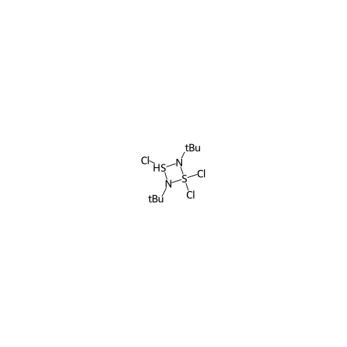 CC(C)(C)N1[SH](Cl)N(C(C)(C)C)S1(Cl)Cl